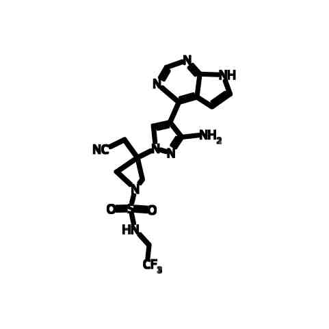 N#CCC1(n2cc(-c3ncnc4[nH]ccc34)c(N)n2)CN(S(=O)(=O)NCC(F)(F)F)C1